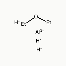 CCOCC.[Al+3].[H-].[H-].[H-]